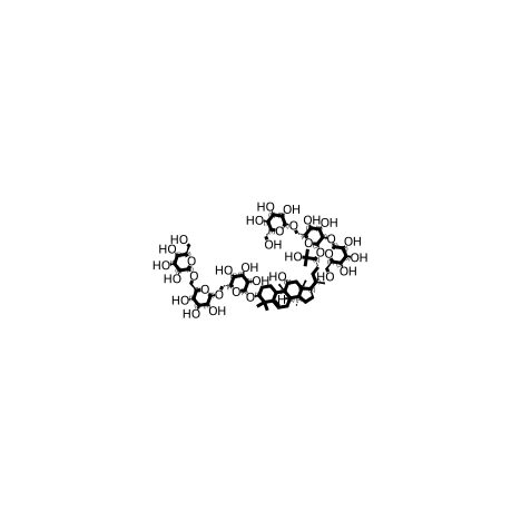 C[C@H](CC[C@@H](O[C@@H]1O[C@H](CO[C@@H]2O[C@H](CO)[C@@H](O)[C@H](O)[C@H]2O)[C@@H](O)[C@H](O)[C@H]1O[C@@H]1O[C@H](CO)[C@@H](O)[C@H](O)[C@H]1O)C(C)(C)O)[C@H]1CC[C@@]2(C)[C@@H]3CC=C4C(CC[C@H](O[C@@H]5O[C@H](CO[C@@H]6O[C@H](CO[C@@H]7O[C@H](CO)[C@@H](O)[C@H](O)[C@H]7O)[C@@H](O)[C@H](O)[C@H]6O)[C@@H](O)[C@H](O)[C@H]5O)C4(C)C)[C@]3(C)[C@H](O)C[C@]12C